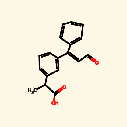 CC(C(=O)O)c1cccc(C(=CC=O)c2ccccc2)c1